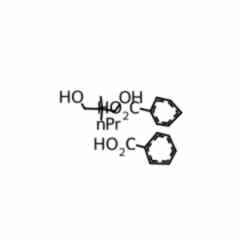 CCCC(C)(CO)CO.O=C(O)c1ccccc1.O=C(O)c1ccccc1